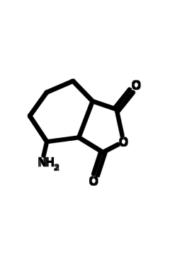 NC1CCCC2C(=O)OC(=O)C12